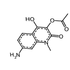 CC(=O)Oc1c(O)c2ccc(N)cc2n(C)c1=O